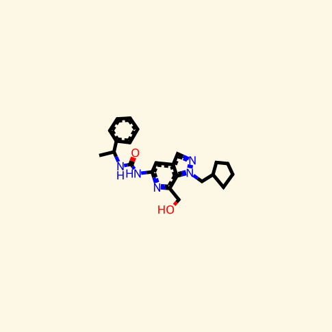 CC(NC(=O)Nc1cc2cnn(CC3CCCC3)c2c(CO)n1)c1ccccc1